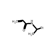 C=CC(=O)NC([SiH3])CC